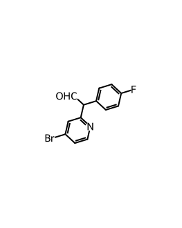 O=CC(c1ccc(F)cc1)c1cc(Br)ccn1